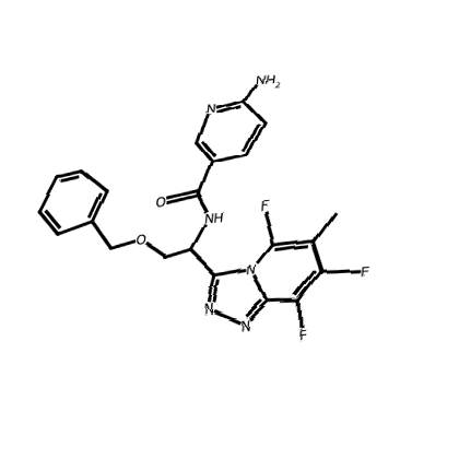 Cc1c(F)c(F)c2nnc(C(COCc3ccccc3)NC(=O)c3ccc(N)nc3)n2c1F